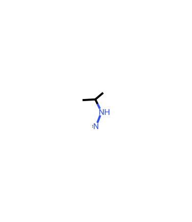 CC(C)N[N]